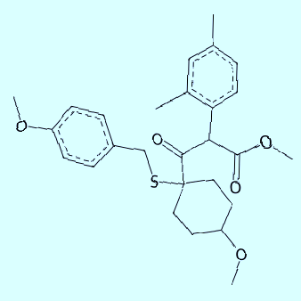 COC(=O)C(C(=O)C1(SCc2ccc(OC)cc2)CCC(OC)CC1)c1ccc(C)cc1C